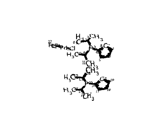 CC(C)P(c1ccc[cH-]1)C(C)C.CC(C)P(c1ccc[cH-]1)C(C)C.[Cl][Pd][Cl].[Fe+2]